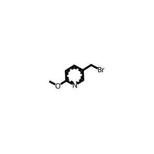 COc1ccc(CBr)cn1